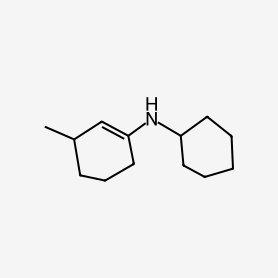 CC1C=C(NC2CCCCC2)CCC1